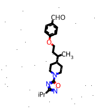 CC(C)c1noc(N2CCC(C(C)CCOc3ccc(C=O)cc3)CC2)n1